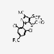 N#Cc1nn(-c2c(Cl)cc(C(F)(F)F)cc2Cl)c(SC=O)c1SC(F)(F)F